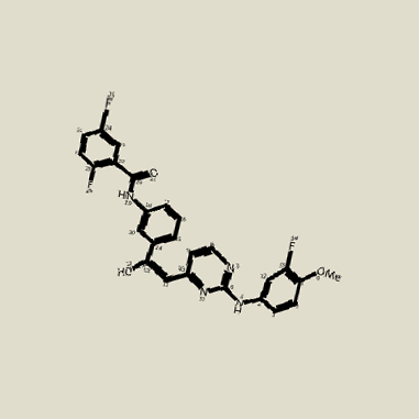 COc1ccc(Nc2nccc(/C=C(/O)c3cccc(NC(=O)c4cc(F)ccc4F)c3)n2)cc1F